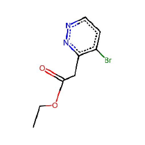 CCOC(=O)Cc1nnccc1Br